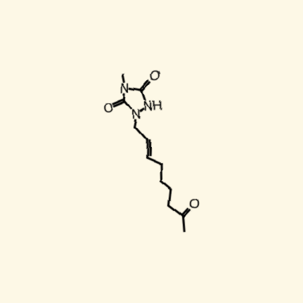 CC(=O)CCCCC=CCn1[nH]c(=O)n(C)c1=O